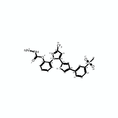 CCCNC(=O)Oc1ccccc1-n1nc(C(F)(F)F)cc1-c1cc(-c2cccc(S(C)(=O)=O)c2)cs1